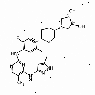 Cc1cc(Nc2nc(Nc3cc(C)c([C@H]4CC[C@H](N5C[C@H](O)[C@@H](O)C5)CC4)cc3F)ncc2C(F)(F)F)n[nH]1